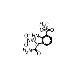 CS(=O)(=O)c1cccc2c1NN([N+](=O)[O-])N2C(N)=O